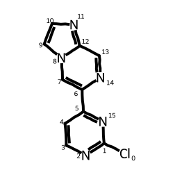 Clc1nccc(-c2cn3ccnc3cn2)n1